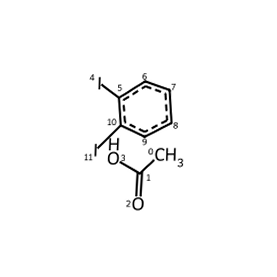 CC(=O)O.Ic1ccccc1I